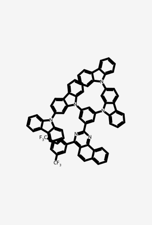 FC(F)(F)c1cc(-c2nc(-c3cc(-n4c5ccccc5c5ccc(-n6c7ccccc7c7ccccc76)cc54)cc(-n4c5ccccc5c5ccc(-n6c7ccccc7c7ccccc76)cc54)c3)nc3c2ccc2ccccc23)cc(C(F)(F)F)c1